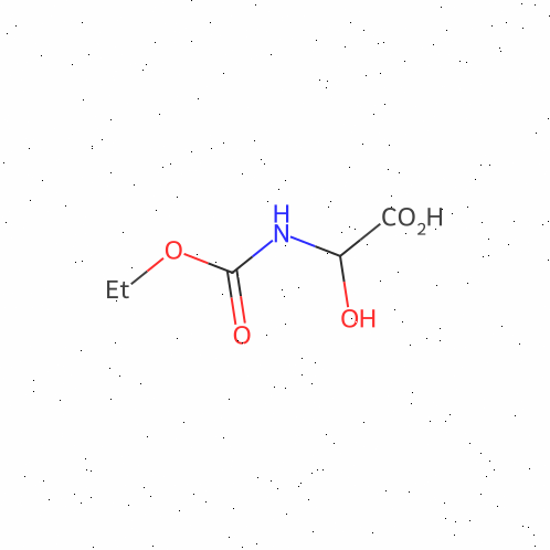 CCOC(=O)NC(O)C(=O)O